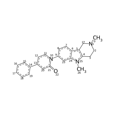 CN1CCc2c(c3ccc(-n4ccc(-c5ccccc5)cc4=O)cc3n2C)C1